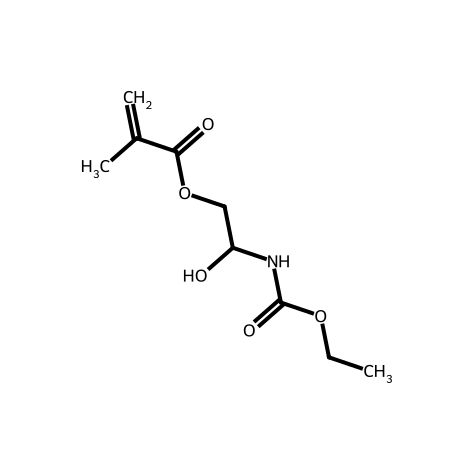 C=C(C)C(=O)OCC(O)NC(=O)OCC